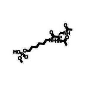 COP(=O)(O)OCCCCCCNC(=O)[C@H](CNC(C)=O)NC(C)=O